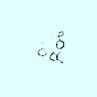 COC1(c2ccc(Cc3cc([C@@H]4O[C@H](CO)[C@@H](O)[C@H](O)[C@H]4O)ccc3C#N)cc2)CCC1